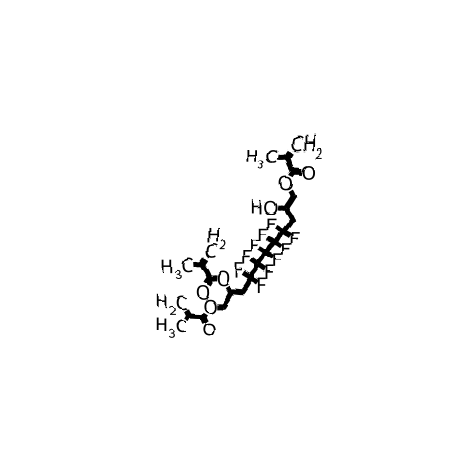 C=C(C)C(=O)OCC(O)CC(F)(F)C(F)(F)C(F)(F)C(F)(F)C(F)(F)CC(COC(=O)C(=C)C)OC(=O)C(=C)C